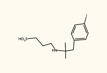 CC(C)(Cc1ccc(I)cc1)NCCCS(=O)(=O)O